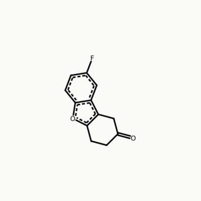 O=C1CCc2oc3ccc(F)cc3c2C1